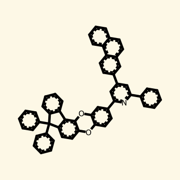 c1ccc(-c2cc(-c3ccc4c(ccc5ccccc54)c3)cc(-c3ccc4c(c3)Oc3c(ccc5c3-c3ccccc3C5(c3ccccc3)c3ccccc3)O4)n2)cc1